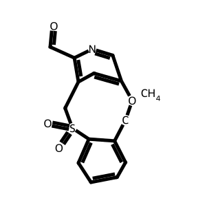 C.O=Cc1ncc2cc1CS(=O)(=O)c1ccccc1CO2